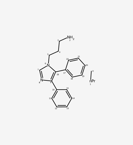 CCCC.NCCCn1cnc(-c2ccccc2)c1-c1ccccc1